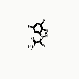 CCC(C(N)=O)n1nnc2c(F)cc(F)cc21